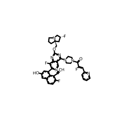 C#Cc1c(F)ccc2cc(O)cc(-c3ncc4c(N5CCN(C(=O)/C(F)=C/c6ccccn6)CC5)nc(OC[C@@]56CCCN5C[C@H](F)C6)nc4c3F)c12